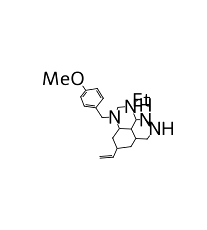 C=CC1CC2CNNC3C2C(C1)N(Cc1ccc(OC)cc1)CN3CC